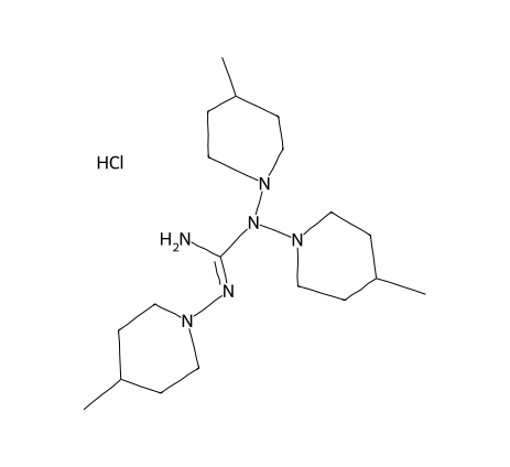 CC1CCN(N=C(N)N(N2CCC(C)CC2)N2CCC(C)CC2)CC1.Cl